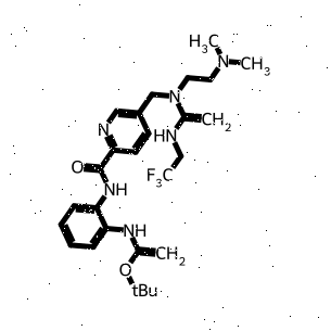 C=C(Nc1ccccc1NC(=O)c1ccc(CN(CCN(C)C)C(=C)NCC(F)(F)F)cn1)OC(C)(C)C